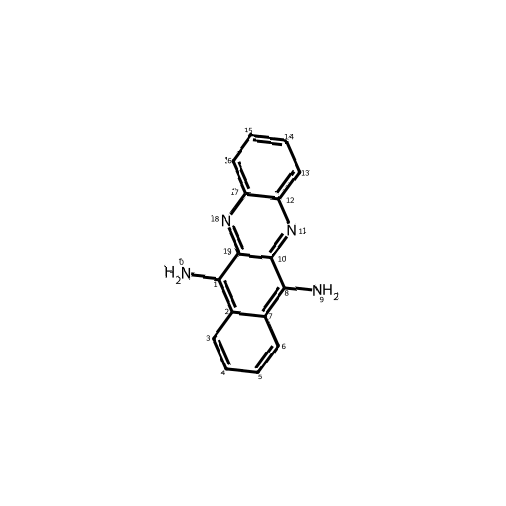 Nc1c2ccccc2c(N)c2nc3ccccc3nc12